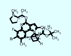 Cc1cc2c(nc(O[C@@H](C)[C@@H]3CCCN3C)c3cc(C)n([C@H]4[C@@H]5C[C@H]4N(C(=O)OC(C)(C)C)C5)c32)c(F)c1Br